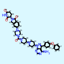 Nc1ncnc2c1c(-c1ccc(Oc3ccccc3)cc1)nn2C1CCN(C2CCN(C(=O)N3CCN(c4ccc5c(c4)CN(C4CCC(=O)NC4=O)C5=O)CC3)CC2)CC1